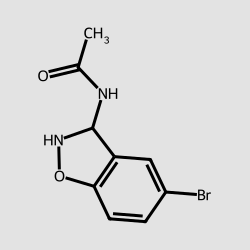 CC(=O)NC1NOc2ccc(Br)cc21